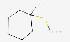 CCCCCCSC1(CCCC)CCCCC1